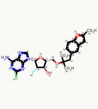 Nc1nc(Cl)nc2c1ncn2[C@@H]1O[C@H](COC(Cc2ccc3oc(C(=O)O)cc3c2)(C(=O)O)C(=O)O)[C@@H](O)[C@@H]1F